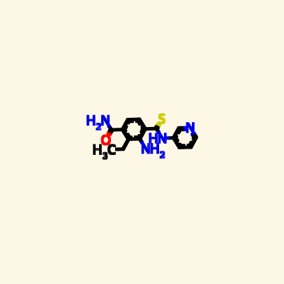 CCc1c(C(N)=O)ccc(C(=S)Nc2cccnc2)c1N